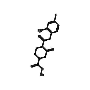 CC(C)(C)OC(=O)N1CCC(C(=O)Cc2ccc(F)cc2C(F)(F)F)C(=O)C1